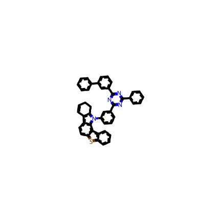 C1=Cc2c(n(-c3cccc(-c4nc(-c5ccccc5)nc(-c5cccc(-c6ccccc6)c5)n4)c3)c3c2ccc2sc4ccccc4c23)CC1